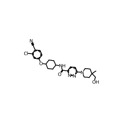 CC1(CO)CCN(c2ccc(C(=O)NC3CCC(Oc4ccc(C#N)c(Cl)c4)CC3)nn2)CC1